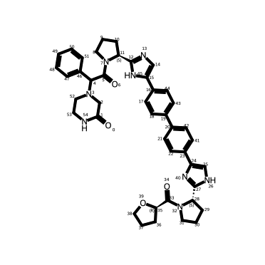 O=C1CN(C(C(=O)N2CCC[C@H]2c2ncc(-c3ccc(-c4ccc(-c5c[nH]c([C@@H]6CCCN6C(=O)[C@H]6CCCO6)n5)cc4)cc3)[nH]2)c2ccccc2)CCN1